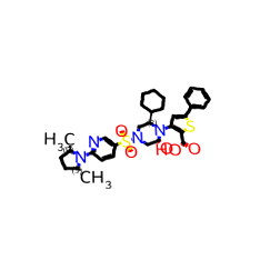 C[C@@H]1CC[C@H](C)N1c1ccc(S(=O)(=O)N2CC(=O)N(c3cc(-c4ccccc4)sc3C(=O)O)[C@H](C3CCCCC3)C2)cn1